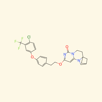 O=c1nc(OCCc2ccc(Oc3ccc(Cl)c(C(F)(F)F)c3)cc2)cc2n1CCC13CC(CN21)C3